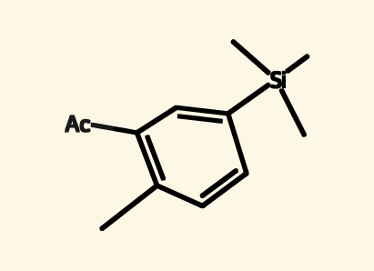 CC(=O)c1cc([Si](C)(C)C)ccc1C